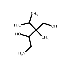 CC(C)C(C)(CO)C(O)CN